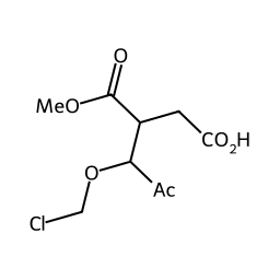 COC(=O)C(CC(=O)O)C(OCCl)C(C)=O